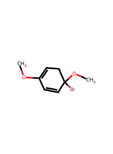 COC1=CCC(Br)(OC)C=C1